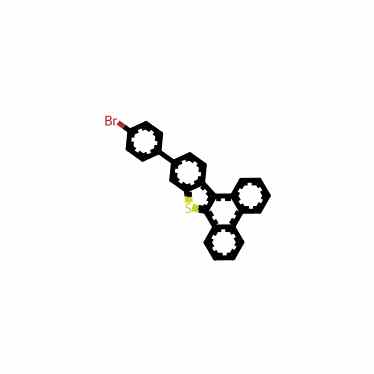 Brc1ccc(-c2ccc3c(c2)sc2c4ccccc4c4ccccc4c32)cc1